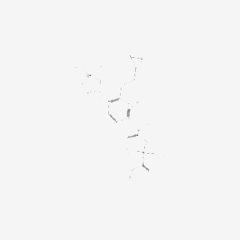 CNC(=O)C(C)(C)NC(=O)Oc1ccc(N2CCC(F)(F)C2)c(OCC2CC2)n1